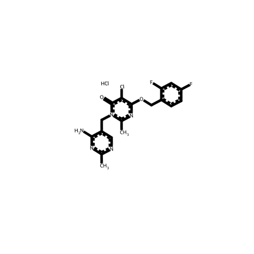 Cc1ncc(Cn2c(C)nc(OCc3ccc(F)cc3F)c(Cl)c2=O)c(N)n1.Cl